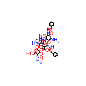 CNC1C(O[C@H]2OC(CO)[C@@H](N)[C@H](O)C2O)O[C@H]2C[C@H](NC(=O)OCc3ccccc3)[C@@H](O[C@@H]3C(N)C[C@@H](NC(=O)OCc4ccccc4)[C@@H](O)C3N=[N+]=[N-])OC2C1O